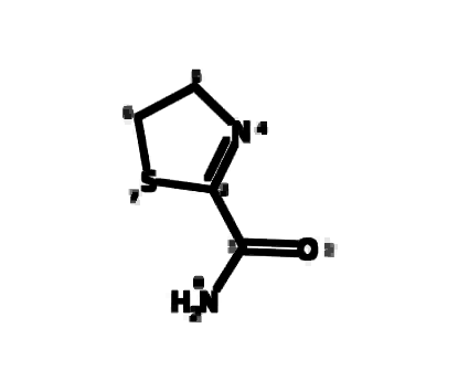 NC(=O)C1=NCCS1